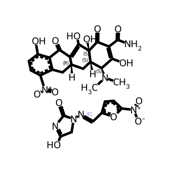 CN(C)[C@@H]1C(O)=C(C(N)=O)C(=O)[C@@]2(O)C(O)=C3C(=O)c4c(O)ccc([N+](=O)[O-])c4C[C@H]3C[C@@H]12.O=C1N=C(O)CN1/N=C/c1ccc([N+](=O)[O-])o1